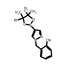 CC(C)C1(C)OB(c2cnn(Cc3ccccc3C#N)c2)OC1(C)C